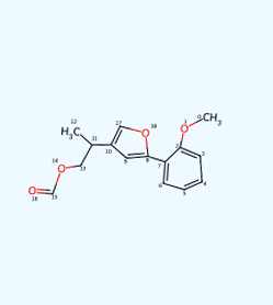 COc1ccccc1-c1cc(C(C)COC=O)co1